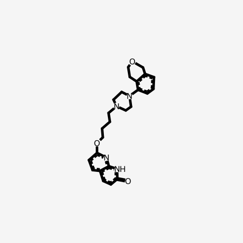 O=c1ccc2ccc(OCCCCN3CCN(c4cccc5c4CCOC5)CC3)nc2[nH]1